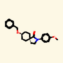 COc1ccc(N2CC[C@]3(CC[C@@H](OCc4ccccc4)CC3)C2=O)cc1